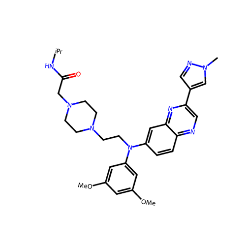 COc1cc(OC)cc(N(CCN2CCN(CC(=O)NC(C)C)CC2)c2ccc3ncc(-c4cnn(C)c4)nc3c2)c1